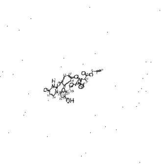 C#CCOC(=O)C(C)N(Oc1ccccc1)[PH](=O)OC[C@H]1O[C@@H](n2ccc(=O)[nH]c2=O)C[C@@H]1O